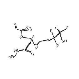 C=CC(=O)OC(C)(OCCC(F)(F)C(F)(F)S)C(=O)NCCC